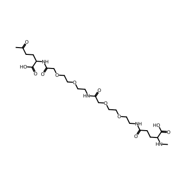 CNC(CCC(=O)NCCOCCOCC(=O)NCCOCCOCC(=O)NC(CCC(C)=O)C(=O)O)C(=O)O